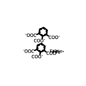 O=C([O-])c1cccc(C(=O)[O-])c1C(=O)[O-].O=C([O-])c1cccc(C(=O)[O-])c1C(=O)[O-].[Fe+2].[Fe+2].[Fe+2]